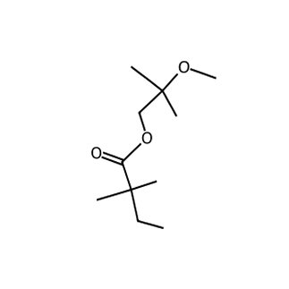 CCC(C)(C)C(=O)OCC(C)(C)OC